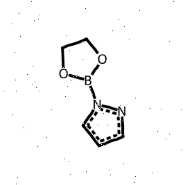 c1cnn(B2OCCO2)c1